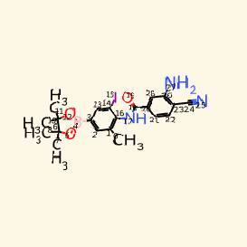 Cc1cc(B2OC(C)(C)C(C)(C)O2)cc(I)c1NC(=O)c1ccc(C#N)c(N)c1